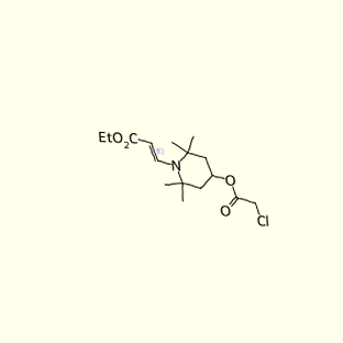 CCOC(=O)/C=C/N1C(C)(C)CC(OC(=O)CCl)CC1(C)C